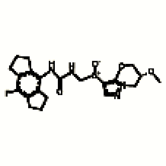 CO[C@H]1COc2c([S+]([O-])CNC(=O)Nc3c4c(c(F)c5c3CCC5)CCC4)cnn2C1